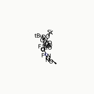 C#CCOc1cnc(/C(F)=C/c2ccc(F)c([C@@]3(C)N=C(N(COCC[Si](C)(C)C)C(=O)OC(C)(C)C)S[C@@]4(S(C)(=O)=O)C[C@H]43)c2)cn1